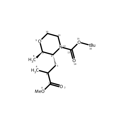 COC(=O)C(C)C[C@@H]1[C@@H](C)OCCN1C(=O)OC(C)(C)C